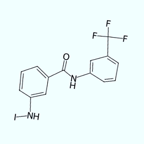 O=C(Nc1cccc(C(F)(F)F)c1)c1cccc(NI)c1